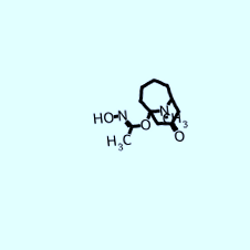 CC(=NO)OC12CCCCC(CC(=O)C1)N2C